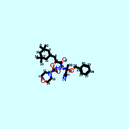 CC1(C)CC(CC(OC(=O)N2CCOCC2)C(=O)NC(C)(C#N)OCc2ccccc2)CC(C)(C)C1